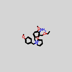 CCOCC(CN)OC1=CC=CC[N+]1(Cc1ccc(OC)cc1)Cc1ccc(OC)cc1